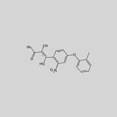 Cc1ccccc1Oc1ccc(/C(O)=C(\C#N)C(=O)C(C)(C)C)c([N+](=O)[O-])c1